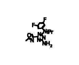 Cc1nc(-c2nc(N)nc(N(c3cc(F)cc(F)c3)C(C)C)n2)co1